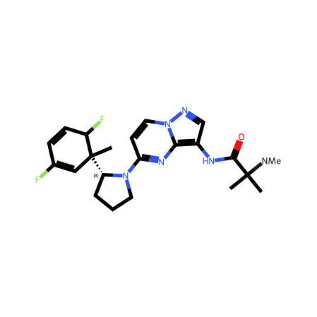 CNC(C)(C)C(=O)Nc1cnn2ccc(N3CCC[C@@H]3C3(C)C=C(F)C=CC3F)nc12